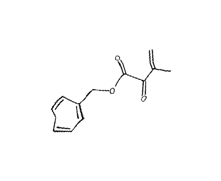 C=C(C)C(=O)C(=O)OCc1ccccc1